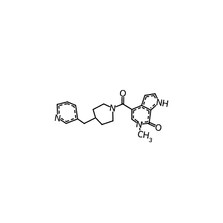 Cn1cc(C(=O)N2CCC(Cc3cccnc3)CC2)c2cc[nH]c2c1=O